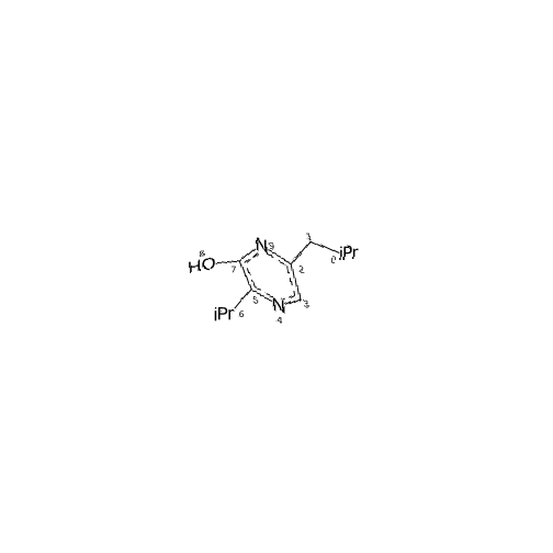 CC(C)Cc1cnc(C(C)C)c(O)n1